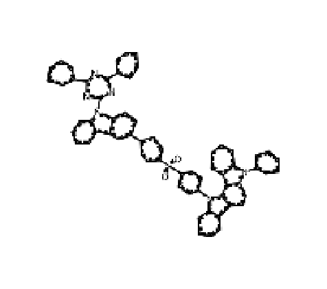 O=S(=O)(c1ccc(-c2ccc3c(c2)c2ccccc2n3-c2nc(-c3ccccc3)nc(-c3ccccc3)n2)cc1)c1ccc(-n2c3ccccc3c3ccc4c(c5ccccc5n4-c4ccccc4)c32)cc1